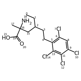 CCC(CCc1c(Cl)cc(Cl)c(Cl)c1Cl)CC(C)(N)C(=O)O